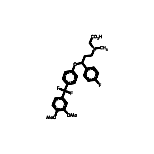 COc1ccc(C(F)(F)c2ccc(OC(CCN(C)CC(=O)O)c3ccc(F)cc3)cc2)cc1OC